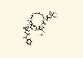 CO[C@@H]1C[C@H]2C(=O)N[C@]3(C(=O)NS(=O)(=O)CC(=O)Nc4ccccc4)C[C@H]3/C=C\CCCCC[C@H](NC(=O)OC(C)(C)C)C(=O)N2C1